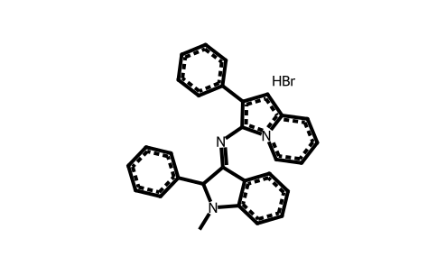 Br.CN1c2ccccc2/C(=N\c2c(-c3ccccc3)cc3ccccn23)C1c1ccccc1